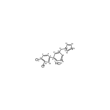 Cl.Clc1ccc(-c2cncc(Cn3ccnc3)c2)cc1Cl